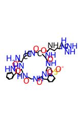 CC(=O)N[C@@H](CCCNC(=N)N)C(=O)NC1CCC(=O)NCCCC(C(N)=O)NC(=O)[C@H](Cc2c[nH]c3ccccc23)NC(=O)CNC(=O)C(Cc2ccccc2)NC(=O)[C@H](CC[S+](C)[O-])NC1=O